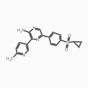 Cc1ccc(-c2nc(-c3ccc(S(=O)(=O)C4CC4)cc3)cnc2N)cn1